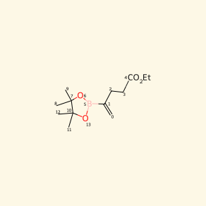 C=C(CCC(=O)OCC)B1OC(C)(C)C(C)(C)O1